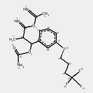 CC(=N)OC(=N)C(C)C(OC(N)=O)c1cccc(OCCCC(F)(F)F)c1